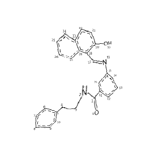 O=C(NCCc1ccccc1)c1cccc(N=Cc2c(O)ccc3ccccc23)c1